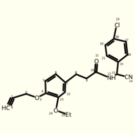 C#CCOc1ccc(CCC(=O)NC(C#N)c2ccc(Cl)cc2)cc1OCC